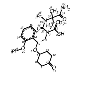 C=C(S)N(C[C@H](OC1CCC(=O)CC1)c1ccccc1OC(C)C)C(=O)N(C(C)C)C(C)(C)C(N)=O